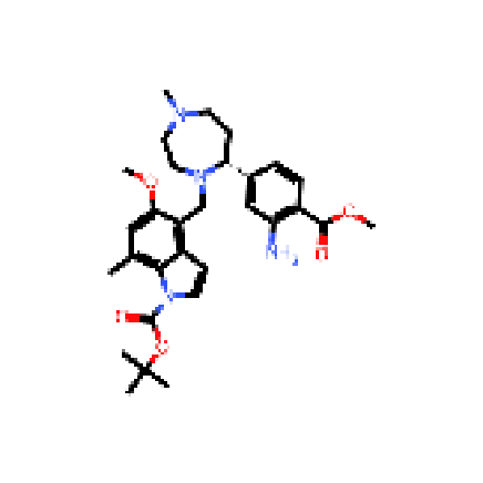 COC(=O)c1ccc([C@H]2CCN(C)CCN2Cc2c(OC)cc(C)c3c2ccn3C(=O)OC(C)(C)C)cc1N